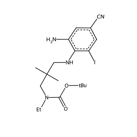 CCN(CC(C)(C)CNc1c(N)cc(C#N)cc1I)C(=O)OC(C)(C)C